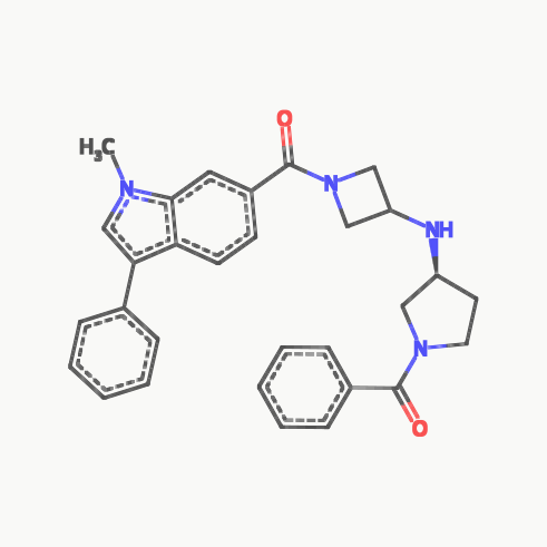 Cn1cc(-c2ccccc2)c2ccc(C(=O)N3CC(N[C@H]4CCN(C(=O)c5ccccc5)C4)C3)cc21